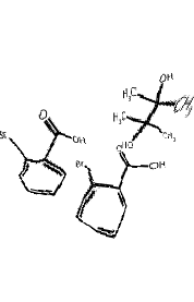 CC(C)(O)C(C)(C)O.O=C(O)c1ccccc1Br.O=C(O)c1ccccc1Br